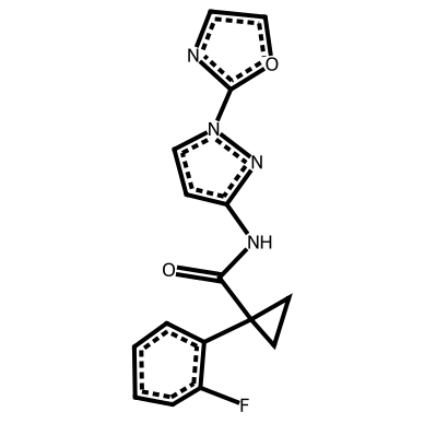 O=C(Nc1ccn(-c2ncco2)n1)C1(c2ccccc2F)CC1